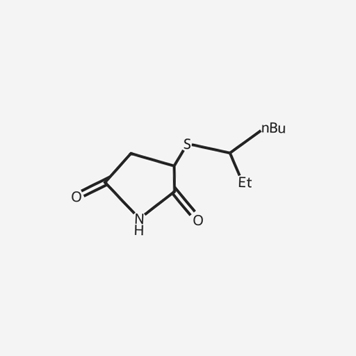 CCCCC(CC)SC1CC(=O)NC1=O